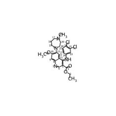 CCOC(=O)c1cnc2cc(OC)c(N3CCCN(C)CC3)cc2c1Nc1ccc(Cl)c(Cl)c1